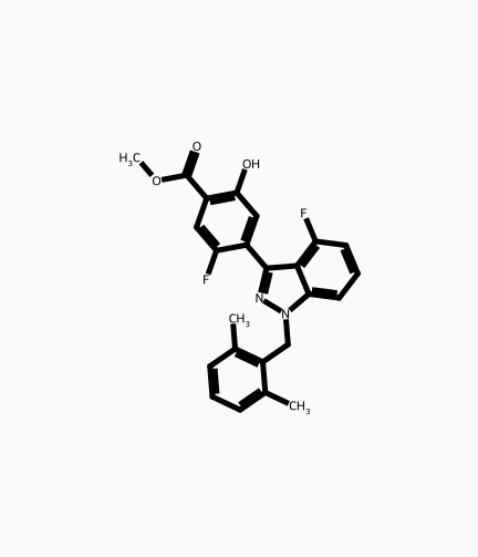 COC(=O)c1cc(F)c(-c2nn(Cc3c(C)cccc3C)c3cccc(F)c23)cc1O